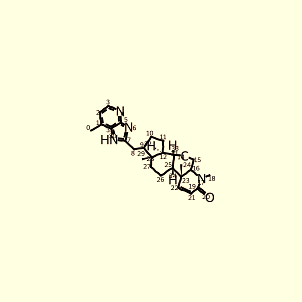 Cc1ccnc2nc(CC3CC[C@H]4[C@@H]5CCC6N(C)C(=O)C=C[C@]6(C)[C@@H]5CC[C@]34C)[nH]c12